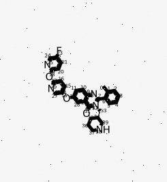 Cc1ccccc1-c1nc2ccc(Oc3ccc(Oc4ccc(F)cn4)nc3)cc2c(=O)n1C[C@H]1CCCNC1